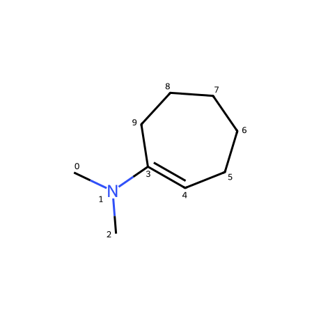 CN(C)C1=CCCCCC1